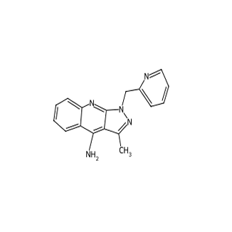 Cc1nn(Cc2ccccn2)c2nc3ccccc3c(N)c12